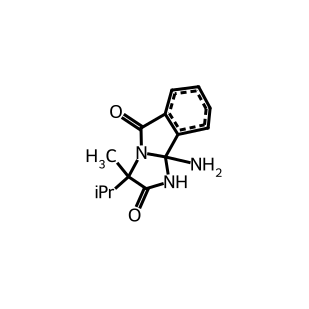 CC(C)C1(C)C(=O)NC2(N)c3ccccc3C(=O)N21